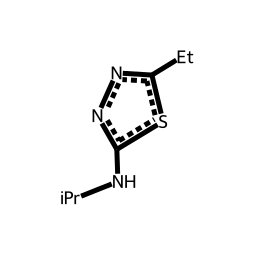 CCc1nnc(NC(C)C)s1